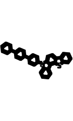 c1ccc(-c2ccc(-c3ccc(-n4c5ccccc5c5c6sc7ccccc7c6ccc54)cc3)cc2)cc1